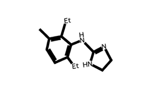 CCc1ccc(C)c(CC)c1NC1=NCCN1